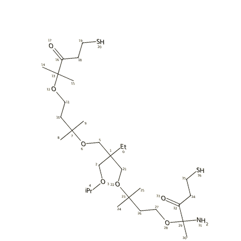 CCC(COC(C)C)(COC(C)(C)CCOC(C)(C)C(=O)CCS)COC(C)(C)CCOC(C)(N)C(=O)CCS